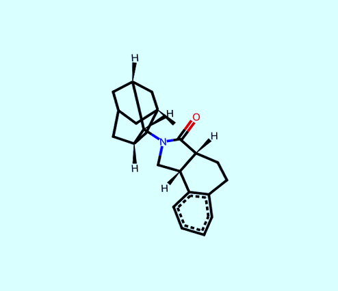 C[C@@]12CC3C[C@H](C1)[C@H](N1C[C@H]4c5ccccc5CC[C@H]4C1=O)[C@@H](C3)C2